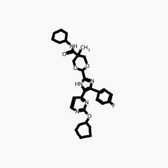 CC1(C(=O)NC2CCCCC2)COC(c2nc(-c3ccc(F)cc3)c(-c3ccnc(OC4CCCCC4)n3)[nH]2)OC1